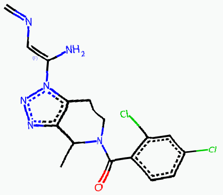 C=N/C=C(\N)n1nnc2c1CCN(C(=O)c1ccc(Cl)cc1Cl)C2C